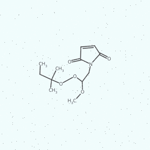 CCC(C)(C)OOC(CN1C(=O)C=CC1=O)OC